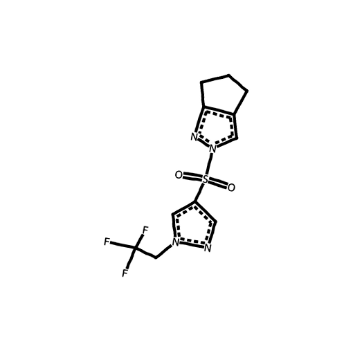 O=S(=O)(c1cnn(CC(F)(F)F)c1)n1cc2c(n1)CCC2